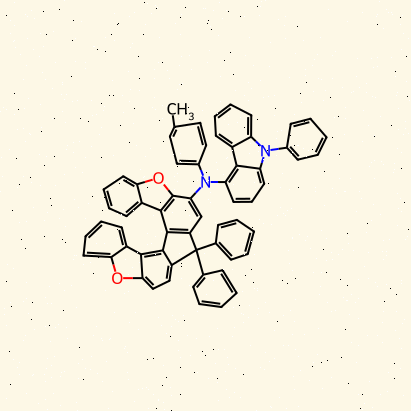 Cc1ccc(N(c2cc3c(c4c2oc2ccccc24)-c2c(ccc4oc5ccccc5c24)C3(c2ccccc2)c2ccccc2)c2cccc3c2c2ccccc2n3-c2ccccc2)cc1